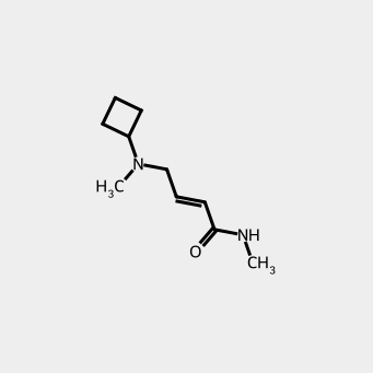 CNC(=O)C=CCN(C)C1CCC1